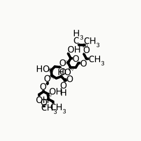 CCC(OC)[C@H](O)C(CO)OCO[C@@H]1CC(C(=O)O)OC(O[C@@H]2C(CO)OC(OC(C)CO[C@H](C)CC)C[C@H]2O)C[C@H]1O